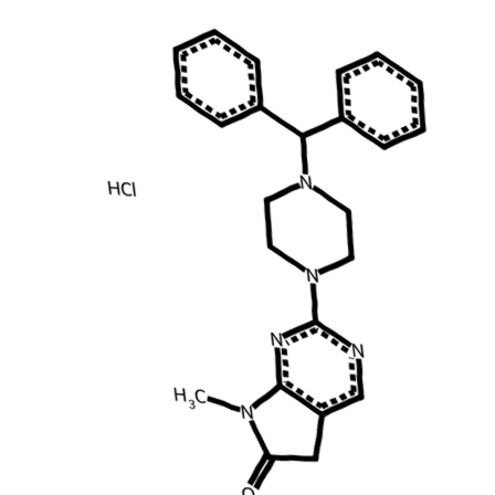 CN1C(=O)Cc2cnc(N3CCN(C(c4ccccc4)c4ccccc4)CC3)nc21.Cl